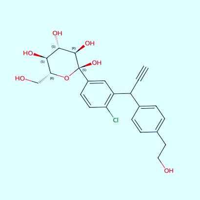 C#CC(c1ccc(CCO)cc1)c1cc([C@]2(O)O[C@H](CO)[C@@H](O)[C@H](O)[C@H]2O)ccc1Cl